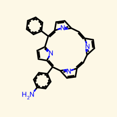 Nc1ccc(C2=C3C=CC(=N3)C(c3ccccc3)=C3C=CC(=N3)C=C3C=CC(=N3)C=C3C=CC2=N3)cc1